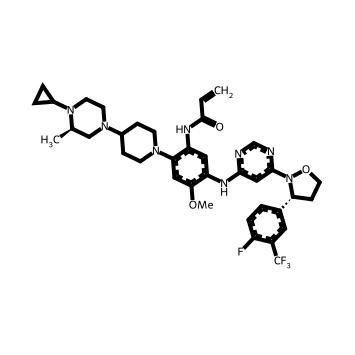 C=CC(=O)Nc1cc(Nc2cc(N3OCC[C@@H]3c3ccc(F)c(C(F)(F)F)c3)ncn2)c(OC)cc1N1CCC(N2CCN(C3CC3)[C@H](C)C2)CC1